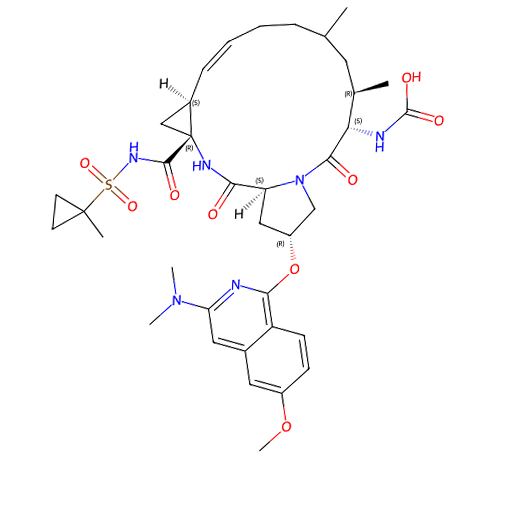 COc1ccc2c(O[C@@H]3C[C@H]4C(=O)N[C@]5(C(=O)NS(=O)(=O)C6(C)CC6)C[C@H]5C=CCCC(C)C[C@@H](C)[C@H](NC(=O)O)C(=O)N4C3)nc(N(C)C)cc2c1